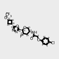 O=C(COc1ccc(Cl)cc1)N[C@H]1CO[C@H](c2nnc([C@H]3C[C@@H](OC(F)(F)F)C3)o2)[C@@H](F)C1